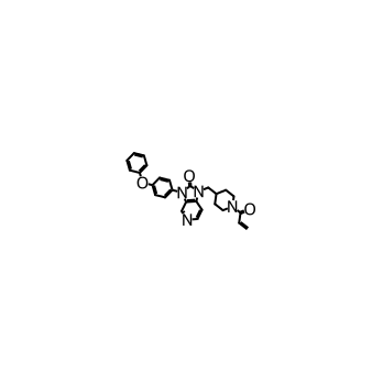 C=CC(=O)N1CCC(Cn2c(=O)n(-c3ccc(Oc4ccccc4)cc3)c3cnccc32)CC1